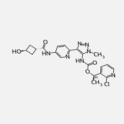 C[C@@H](OC(=O)Nc1c(-c2ccc(NC(=O)[C@H]3C[C@H](O)C3)cn2)nnn1C)c1cccnc1Cl